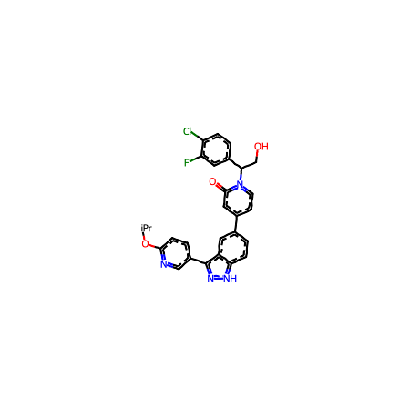 CC(C)Oc1ccc(-c2n[nH]c3ccc(-c4ccn(C(CO)c5ccc(Cl)c(F)c5)c(=O)c4)cc23)cn1